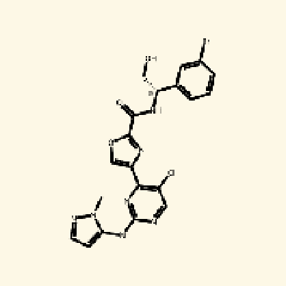 Cn1nccc1Nc1ncc(Cl)c(-c2coc(C(=O)N[C@H](CO)c3cccc(Br)c3)n2)n1